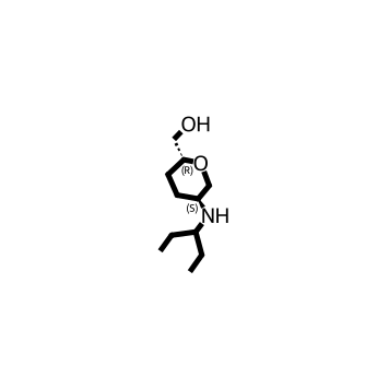 CCC(CC)N[C@H]1CC[C@H](CO)OC1